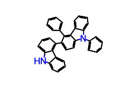 c1ccc(-c2c(-c3cccc4[nH]c5ccccc5c34)ccc3c2c2ccccc2n3-c2ccccc2)cc1